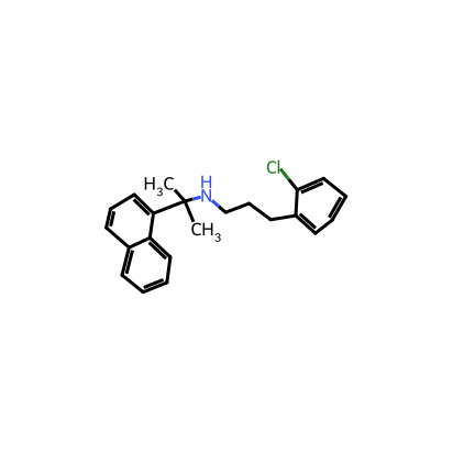 CC(C)(NCCCc1ccccc1Cl)c1cccc2ccccc12